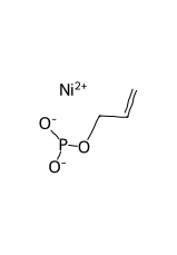 C=CCOP([O-])[O-].[Ni+2]